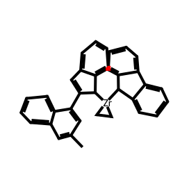 Cc1cc(C2=Cc3ccccc3[CH]2[Zr]2([CH]3c4ccccc4-c4ccccc43)[CH2][CH2]2)c2ccccc2c1